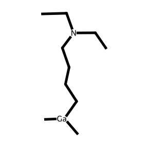 CCN(CC)CCC[CH2][Ga]([CH3])[CH3]